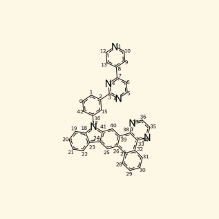 c1cc(-c2nccc(-c3ccncc3)n2)cc(-n2c3ccccc3c3cc4c5ccccc5c5nccnc5c4cc32)c1